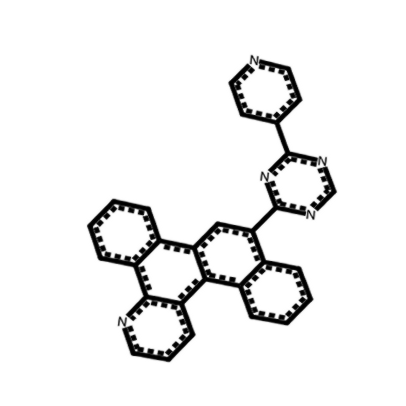 c1ccc2c(c1)c(-c1ncnc(-c3ccncc3)n1)cc1c3ccccc3c3ncccc3c21